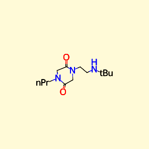 CCCN1CC(=O)N(CCNC(C)(C)C)CC1=O